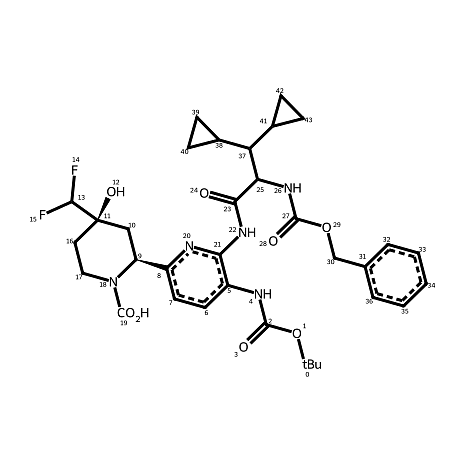 CC(C)(C)OC(=O)Nc1ccc([C@@H]2C[C@@](O)(C(F)F)CCN2C(=O)O)nc1NC(=O)C(NC(=O)OCc1ccccc1)C(C1CC1)C1CC1